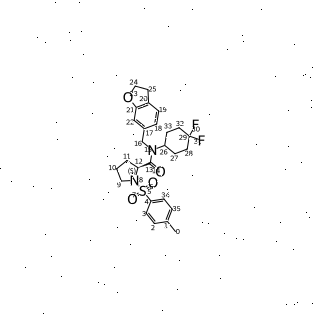 Cc1ccc(S(=O)(=O)N2CCC[C@H]2C(=O)N(Cc2ccc3c(c2)OCC3)C2CCC(F)(F)CC2)cc1